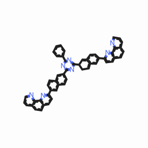 C1=c2ccc(-c3ccc4ccc5cccnc5c4n3)cc2=CCC1c1nc(-c2ccccc2)nc(-c2ccc3cc(-c4ccc5ccc6cccnc6c5n4)ccc3c2)n1